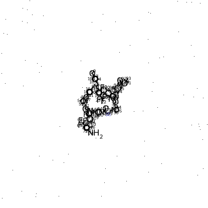 COc1ccc(CN(Cc2ccc(OC)cc2)c2ccc(C(F)(F)F)c(C3Cc4nc(OC[C@@H]5CCCN5C/C=C\C(=O)N5CCN(c6nc(OC[C@@H]7CCCN7C)nc7c6C[C@H](C)[C@@H](c6c(C(F)(F)F)ccc(N)c6C)C7)[C@@H](C)C5)nc(N5CCN(C(=O)OC(C)(C)C)C[C@@H]5C)c4CC3C)c2F)cc1